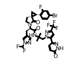 CC(C)(Cn1nc(C(F)(F)F)cc1-c1ccc(=O)[nH]n1)NC(=O)[C@@H](Cc1cnn(C(F)F)c1)N1CC[C@@]2(C[C@@H]2c2ccc(Br)cc2F)C1=O